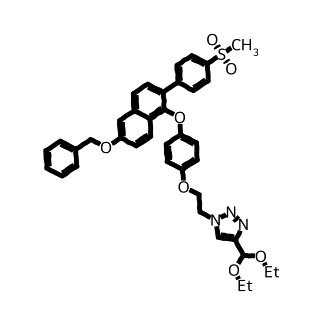 CCOC(OCC)c1cn(CCOc2ccc(Oc3c(-c4ccc(S(C)(=O)=O)cc4)ccc4cc(OCc5ccccc5)ccc34)cc2)nn1